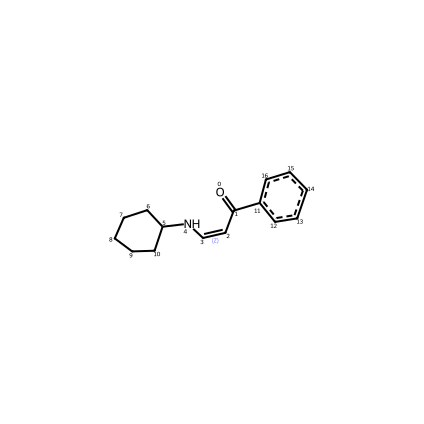 O=C(/C=C\NC1CCCCC1)c1ccccc1